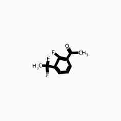 CC(=O)c1cccc(C(C)(F)F)c1F